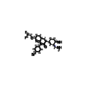 CN/C=C1/C=C(c2cc3ccc(OCC(F)F)nc3n(-c3ccc(Br)cc3)c2=O)C=CC1=N